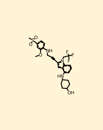 COc1cc(S(C)(=O)=O)ccc1NCC#Cc1cc2c(NC3CCC(O)CC3)cccc2n1CC(F)(F)F